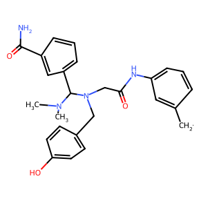 [CH2]c1cccc(NC(=O)CN(Cc2ccc(O)cc2)C(c2cccc(C(N)=O)c2)N(C)C)c1